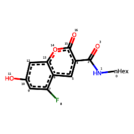 CCCCCCNC(=O)c1cc2c(F)cc(O)cc2oc1=O